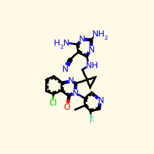 Cc1c(F)cncc1-n1c(C2(CNc3nc(N)nc(N)c3C#N)CC2)nc2cccc(Cl)c2c1=O